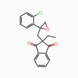 CCC1(CC2(c3ccccc3Cl)CO2)C(=O)c2ccccc2C1=O